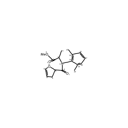 COC(=O)C(C)N(C(=O)C1CC=CO1)c1c(C)cccc1C